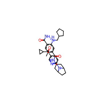 Cc1cc(C(N)=O)c(NCC2CCCC2)cc1C(=O)NC1CC2CCC(C1)N2c1ccc(C(=O)C2CC2)cn1